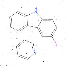 Ic1ccc2[nH]c3ccccc3c2c1.c1ccncc1